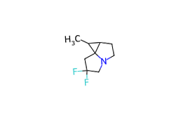 CC1C2CCN3CC(F)(F)CC123